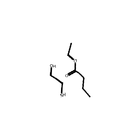 CCCC(=O)OCC.OCCS